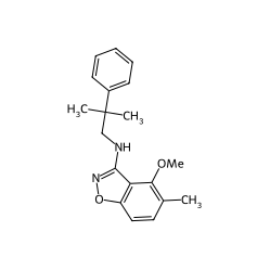 COc1c(C)ccc2onc(NCC(C)(C)c3ccccc3)c12